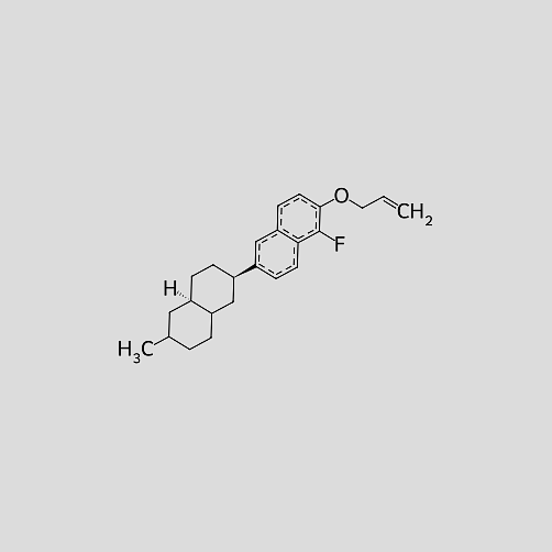 C=CCOc1ccc2cc([C@@H]3CC[C@@H]4CC(C)CCC4C3)ccc2c1F